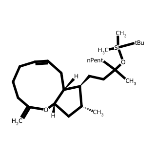 C=C1CCC/C=C\C[C@@H]2[C@@H](CCC(C)(CCCCC)O[Si](C)(C)C(C)(C)C)[C@H](C)C[C@@H]2O1